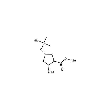 CC(C)(C)OC(=O)N1C[C@@H](O[Si](C)(C)C(C)(C)C)C[C@@H]1C=O